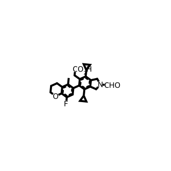 Cc1c(-c2c(CC(=O)O)c(C3CC3)c3c(c2C2CC2)CN(C=O)C3)cc(F)c2c1CCCO2